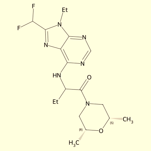 CCC(Nc1ncnc2c1nc(C(F)F)n2CC)C(=O)N1C[C@@H](C)O[C@@H](C)C1